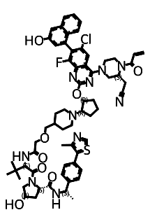 C=CC(=O)N1CCN(c2nc(O[C@@H]3CCC[C@H]3N3CCC(COCC(=O)N[C@H](C(=O)N4C[C@H](O)C[C@H]4C(=O)N[C@@H](C)c4ccc(-c5scnc5C)cc4)C(C)(C)C)CC3)nc3c(F)c(-c4cc(O)cc5ccccc45)c(Cl)cc23)C[C@@H]1CC#N